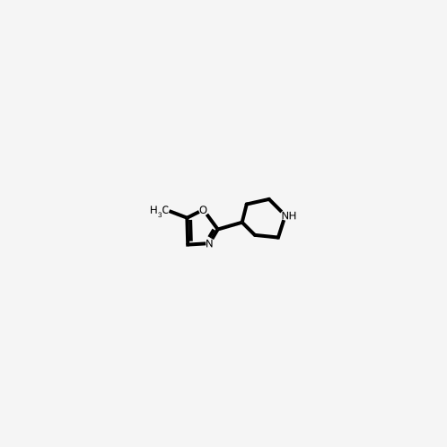 Cc1cnc(C2CCNCC2)o1